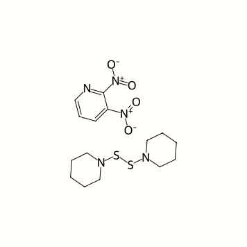 C1CCN(SSN2CCCCC2)CC1.O=[N+]([O-])c1cccnc1[N+](=O)[O-]